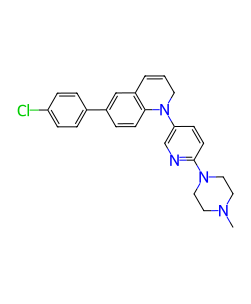 CN1CCN(c2ccc(N3CC=Cc4cc(-c5ccc(Cl)cc5)ccc43)cn2)CC1